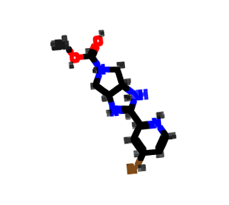 CC(C)(C)OC(=O)N1CC2N=C(c3cc(Br)ccn3)NC2C1